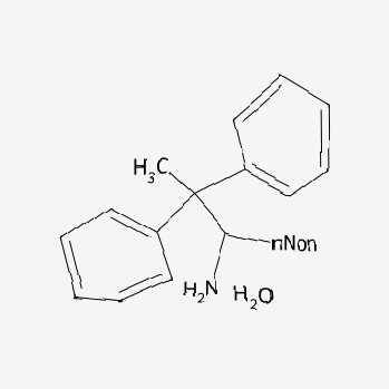 CCCCCCCCCC(N)C(C)(c1ccccc1)c1ccccc1.O